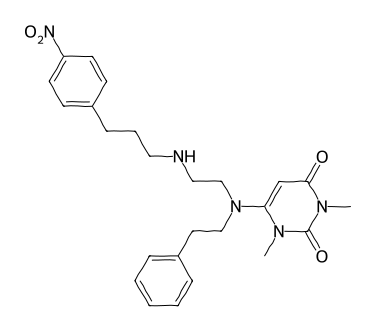 Cn1c(N(CCNCCCc2ccc([N+](=O)[O-])cc2)CCc2ccccc2)cc(=O)n(C)c1=O